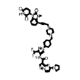 Cn1c(=O)n(C2CCC(=O)NC2=O)c2cccc(C#CCN3CCN(CC4CCC(n5cc(NC(=O)c6cnn7ccc(N8CCCC8)nc67)c(C(F)F)n5)CC4)CC3)c21